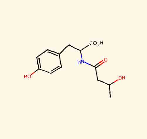 CC(O)CC(=O)NC(Cc1ccc(O)cc1)C(=O)O